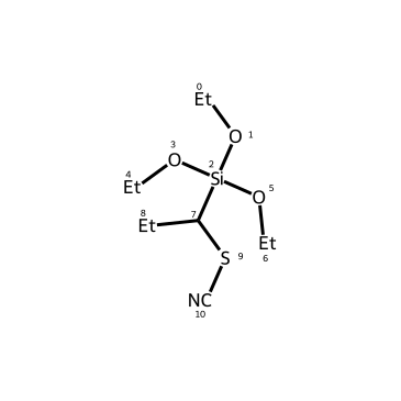 CCO[Si](OCC)(OCC)C(CC)SC#N